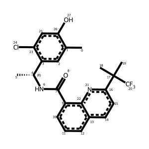 Cc1cc([C@@H](C)NC(=O)c2cccc3ccc(C(C)(C)C(F)(F)F)nc23)c(Cl)cc1O